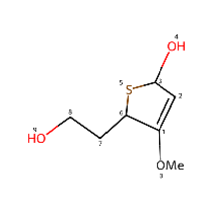 COC1=CC(O)SC1CCO